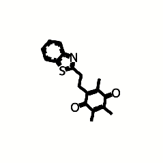 CC1=C(C)C(=O)C(CCc2nc3ccccc3s2)=C(C)C1=O